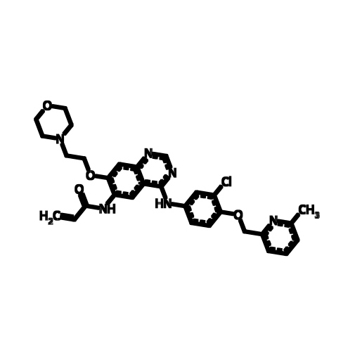 C=CC(=O)Nc1cc2c(Nc3ccc(OCc4cccc(C)n4)c(Cl)c3)ncnc2cc1OCCN1CCOCC1